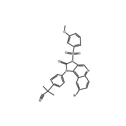 COc1cccc(S(=O)(=O)n2c(=O)n(-c3ccc(C(C)(C)C#N)cc3)c3c4cc(Br)ccc4ncc32)c1